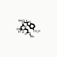 CCC1(CC)CC(=O)N([C@H]2c3cc(C(=O)O)ccc3O[C@@]2(C)COC)/C(=C/C(=O)OC(C)(C)C)N1